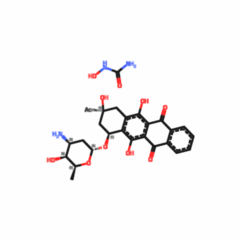 CC(=O)[C@]1(O)Cc2c(O)c3c(c(O)c2[C@@H](O[C@H]2C[C@H](N)[C@H](O)[C@H](C)O2)C1)C(=O)c1ccccc1C3=O.NC(=O)NO